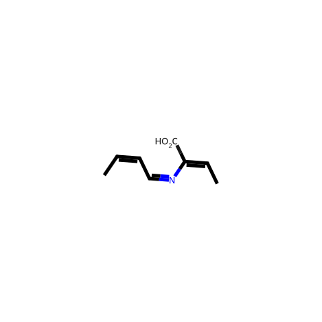 C\C=C/C=N\C(=C/C)C(=O)O